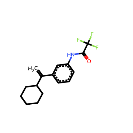 C=C(c1cccc(NC(=O)C(F)(F)F)c1)C1CCCCC1